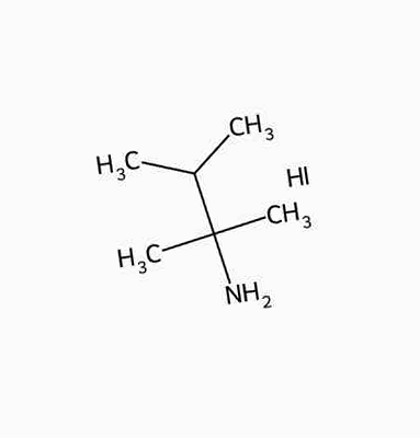 CC(C)C(C)(C)N.I